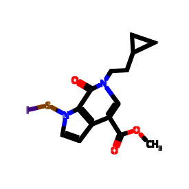 COC(=O)c1cn(CCC2CC2)c(=O)c2c1ccn2SI